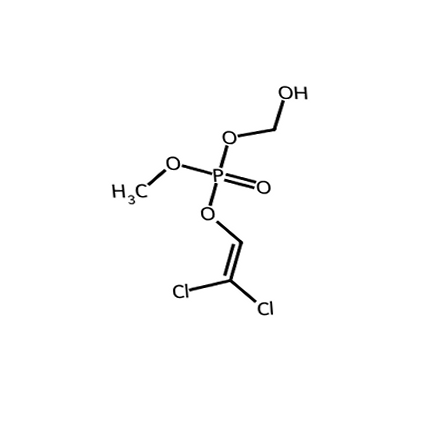 COP(=O)(OC=C(Cl)Cl)OCO